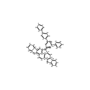 c1ccc(-c2ccc(-c3cc(-n4c5cc6c7ccccc7sc6c6ccc7c8sc9ccccc9c8cc4c7c65)nc(-c4ccccc4)n3)cc2)cc1